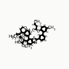 C=CCC1CCOc2ccc(-c3c(C(OC(C)(C)C)C(=O)O)c(C)cc4nc(-c5cccc(-c6cc(C)ccc6O[C@@H](C)CC=C)c5)sc34)cc21